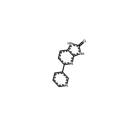 O=c1[nH]c2ccc(-c3cccnc3)nc2[nH]1